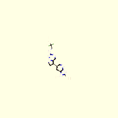 Cc1nc2ncc(-c3ccn4nc(NCC(C)(F)F)ncc34)cc2n1C(C)C